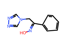 ON=C(Cn1cnnc1)c1ccccc1